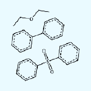 CCOCC.O=S(=O)(c1ccccc1)c1ccccc1.c1ccc(-c2ccccc2)cc1